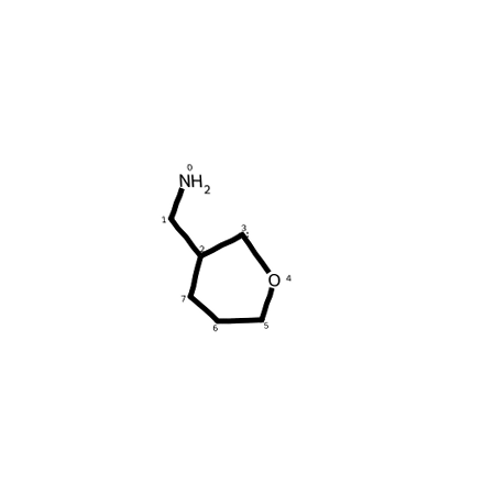 NCC1[C]OCCC1